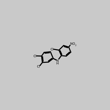 O=[N+]([O-])c1ccc(Nc2ccc(Cl)c(Cl)c2)c(Cl)c1